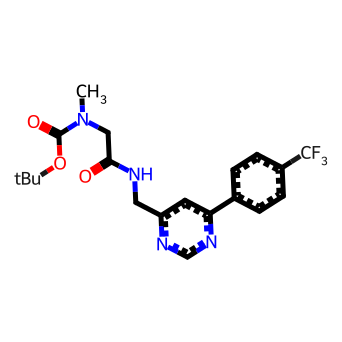 CN(CC(=O)NCc1cc(-c2ccc(C(F)(F)F)cc2)ncn1)C(=O)OC(C)(C)C